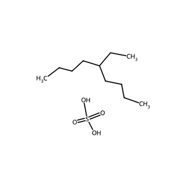 CCCCC(CC)CCCC.O=S(=O)(O)O